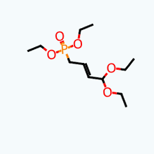 CCOC(/C=C/CP(=O)(OCC)OCC)OCC